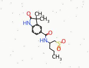 CCCC(C[SH](=O)=O)NC(=O)c1ccc2c(c1)C(C)(C)C(=O)N2